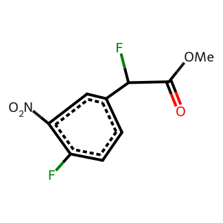 COC(=O)C(F)c1ccc(F)c([N+](=O)[O-])c1